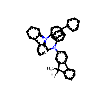 CC1(C)c2ccccc2-c2ccc(N(c3ccccc3)c3cccc4c5ccccc5n(-c5ccc(-c6ccccc6)cc5)c34)cc21